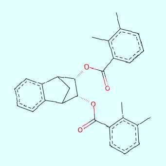 Cc1cccc(C(=O)O[C@@H]2C3CC(c4ccccc43)[C@@H]2OC(=O)c2cccc(C)c2C)c1C